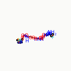 CN(CC(=O)NCCCOCCOCCOCCCNC(=O)CN(C)C(=O)COc1ccc(-c2ccc3n2[B-](F)(F)[N+]2=C(c4cccs4)C=CC2=C3)cc1)C(=O)COCC(=O)N1CCN(c2cc(-c3ccc(F)c4ccccc34)nc(N)n2)CC1